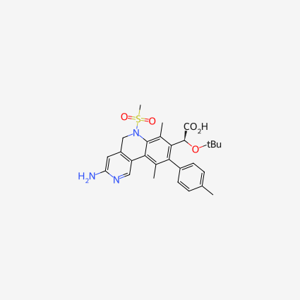 Cc1ccc(-c2c(C)c3c(c(C)c2[C@H](OC(C)(C)C)C(=O)O)N(S(C)(=O)=O)Cc2cc(N)ncc2-3)cc1